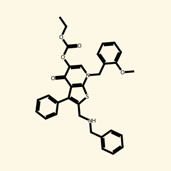 CCOC(=O)Oc1cn(Cc2ccccc2OC)c2sc(CNCc3ccccc3)c(-c3ccccc3)c2c1=O